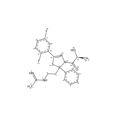 CC(=N)NCCC1(c2ccccc2)SC(c2cc(F)ccc2F)=NN1C(=O)[C@H](C)O